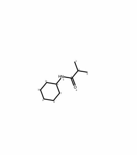 CC(C)C(=O)NC1C[CH]CCC1